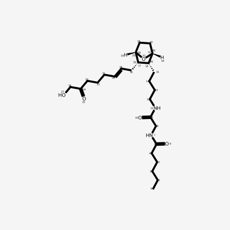 CCCCCC(=O)NCC(=O)NCCCC[C@@H]1[C@H](CC=CCCCC(=O)CO)[C@@H]2CC[C@H]1O2